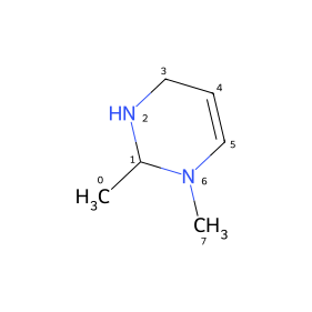 CC1NCC=CN1C